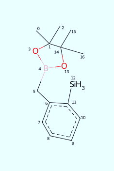 CC1(C)OB(Cc2ccccc2[SiH3])OC1(C)C